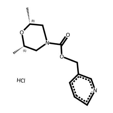 C[C@@H]1CN(C(=O)OCc2cccnc2)C[C@H](C)O1.Cl